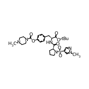 CN1CCN(C(=O)Oc2ccc(C[C@H](NC(=O)[C@@H]3CCCN3S(=O)(=O)c3cnn(C)c3)C(=O)OC(C)(C)C)cc2)CC1